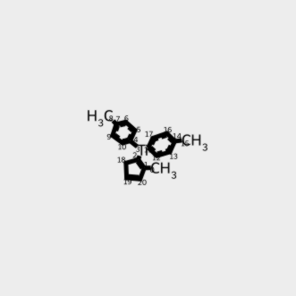 CC1=[C]([Ti]([c]2ccc(C)cc2)[c]2ccc(C)cc2)CC=C1